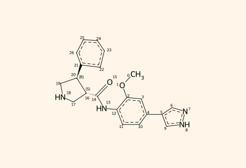 COc1cc(-c2cn[nH]c2)ccc1NC(=O)[C@@H]1CNC[C@H]1c1ccccc1